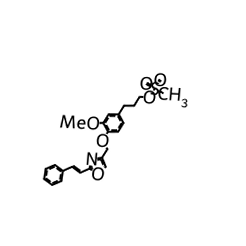 COc1cc(CCCOS(C)(=O)=O)ccc1OCc1coc(C=Cc2ccccc2)n1